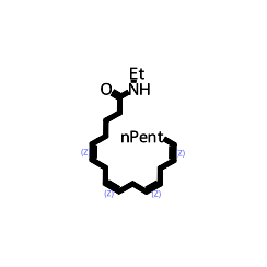 CCCCC/C=C\C/C=C\C/C=C\C/C=C\CCCC(=O)NCC